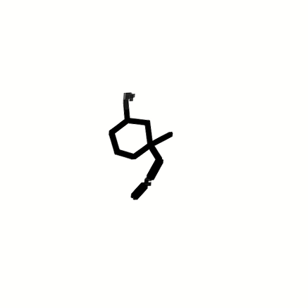 C=C=CC1(C)CCCC(C(C)C)C1